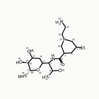 CCC1CC(C(=O)NC(C(C)Cl)C2CC(O)[C@H](O)[C@@H](SC)O2)CN(CCN)C1